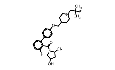 CC(C)(F)CN1CCC(COc2ccc(-c3cccc(F)c3C(=O)N3CC(O)CC3C#N)cc2)CC1